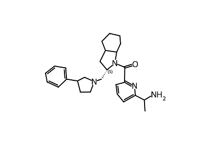 CC(N)c1cccc(C(=O)N2C3CCCCC3C[C@H]2CN2CCC(c3ccccc3)C2)n1